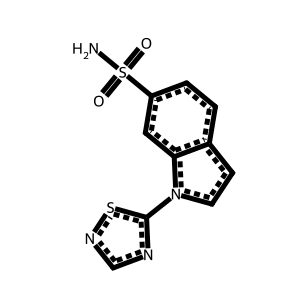 NS(=O)(=O)c1ccc2ccn(-c3ncns3)c2c1